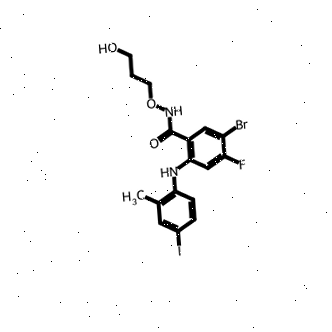 Cc1cc(I)ccc1Nc1cc(F)c(Br)cc1C(=O)NOCCCO